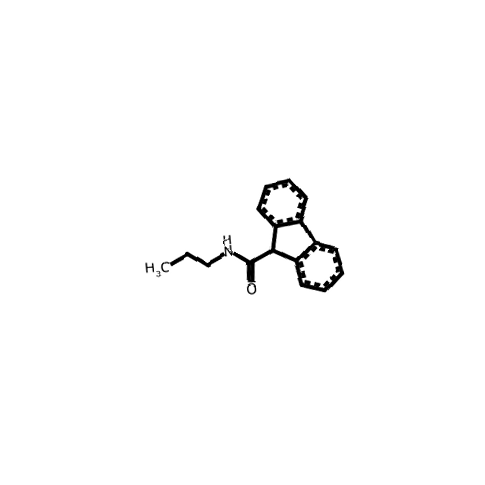 CCCNC(=O)C1c2ccccc2-c2ccccc21